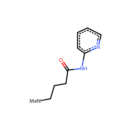 CNCCCC(=O)Nc1ccccn1